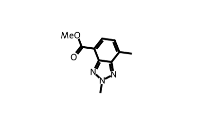 COC(=O)c1ccc(C)c2nn(C)nc12